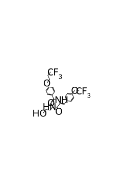 O=C(NCCO)C(=Cc1ccc(OC(F)(F)F)cc1)NC(=O)c1ccc(OCCC(F)(F)F)cc1